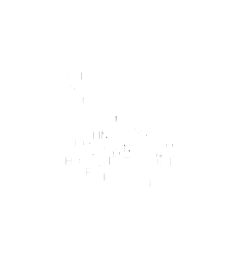 COc1ccc(C[C@H](NC(=O)C(C)(O)C(F)(F)F)C(=O)N[C@@H](Cc2ccccc2)C(=O)[C@@]2(C)CO2)cc1